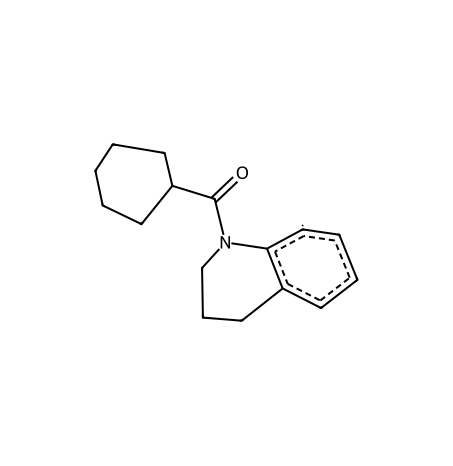 O=C(C1CCCCC1)N1CCCc2ccc[c]c21